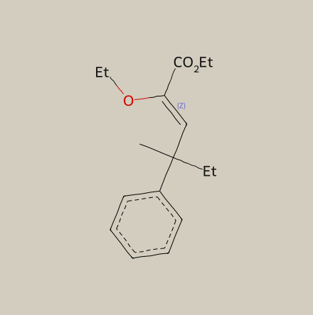 CCOC(=O)/C(=C/C(C)(CC)c1ccccc1)OCC